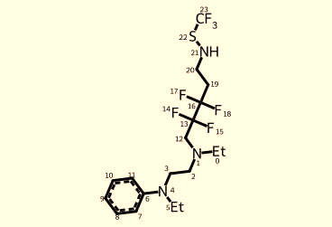 CCN(CCN(CC)c1ccccc1)CC(F)(F)C(F)(F)CCNSC(F)(F)F